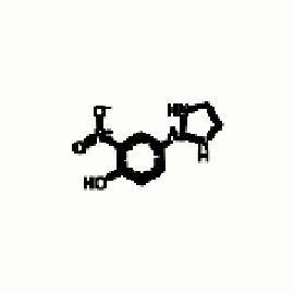 O=[N+]([O-])c1cc([As]2NCCN2)ccc1O